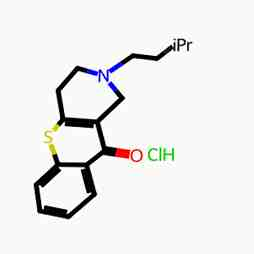 CC(C)CCN1CCc2sc3ccccc3c(=O)c2C1.Cl